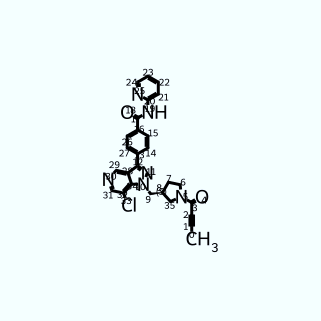 CC#CC(=O)N1CC[C@H](Cn2nc(-c3ccc(C(=O)Nc4ccccn4)cc3)c3cncc(Cl)c32)C1